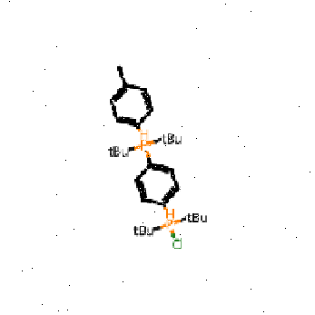 Cc1ccc([PH](c2ccc([PH](Cl)(C(C)(C)C)C(C)(C)C)cc2)(C(C)(C)C)C(C)(C)C)cc1